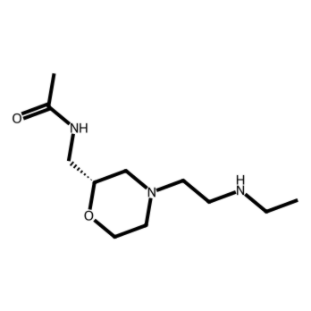 CCNCCN1CCO[C@H](CNC(C)=O)C1